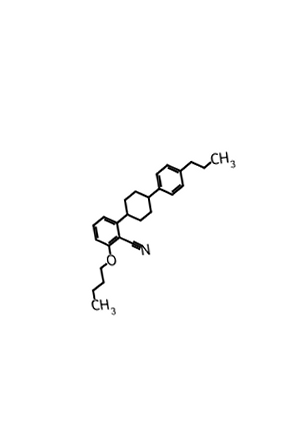 CCCCOc1cccc(C2CCC(c3ccc(CCC)cc3)CC2)c1C#N